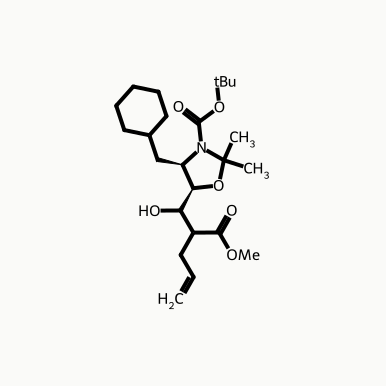 C=CCC(C(=O)OC)C(O)[C@@H]1OC(C)(C)N(C(=O)OC(C)(C)C)[C@@H]1CC1CCCCC1